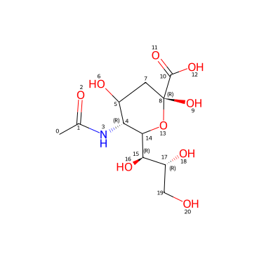 CC(=O)N[C@@H]1C(O)C[C@](O)(C(=O)O)OC1[C@H](O)[C@H](O)CO